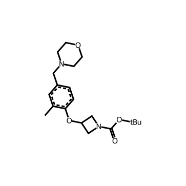 Cc1cc(CN2CCOCC2)ccc1OC1CN(C(=O)OC(C)(C)C)C1